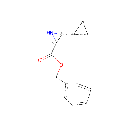 O=C(OCc1ccccc1)[C@@H]1N[C@@H]1C1CC1